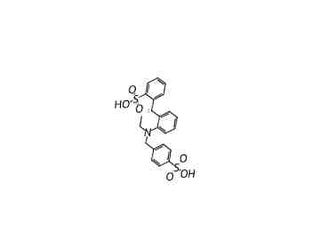 CCN(Cc1ccc(S(=O)(=O)O)cc1)c1ccccc1[C]c1ccccc1S(=O)(=O)O